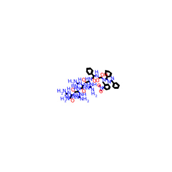 N=C(N)NC(NC(=O)C(NC(=N)N)NC(=O)C(NC(=N)N)NC(=O)C(NC(=N)N)NC(=O)C(NC(=O)C(O)N(Cc1ccccc1[N+](=O)[O-])c1nc(-c2ccccc2)nc2ccccc12)c1ccccc1)C(N)=O